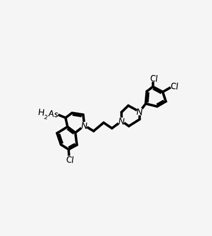 Clc1ccc2c(c1)N(CCCN1CCN(c3ccc(Cl)c(Cl)c3)CC1)C=CC2[AsH2]